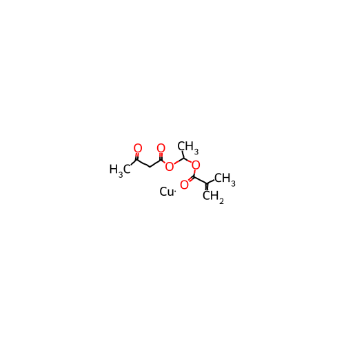 C=C(C)C(=O)OC(C)OC(=O)CC(C)=O.[Cu]